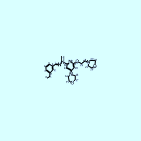 CCc1cccc(C=NNc2cc(N3CCOCC3)cc(OCCN3CCOCC3)n2)c1